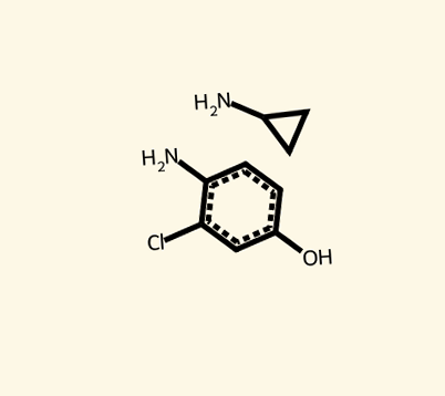 NC1CC1.Nc1ccc(O)cc1Cl